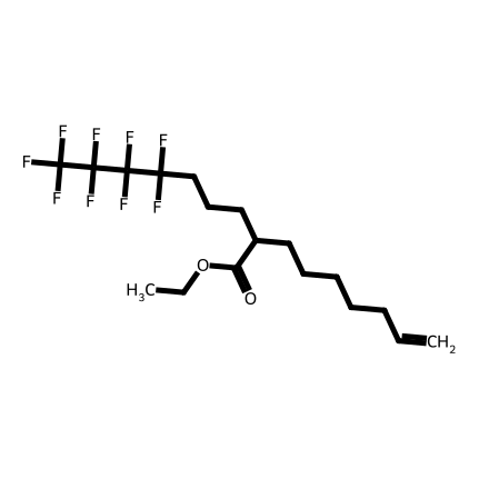 C=CCCCCCC(CCCC(F)(F)C(F)(F)C(F)(F)C(F)(F)F)C(=O)OCC